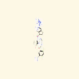 N#Cc1cc([C@@H]2CN3CCN(C(=O)C4CCc5cc(-n6cnnn6)ncc54)C[C@H]3CO2)c(F)cc1F